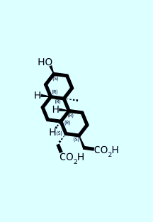 C[C@@]12CC[C@H](O)C[C@H]1CC[C@@H]1[C@@H](CC(=O)O)[C@H](CC(=O)O)CC[C@H]12